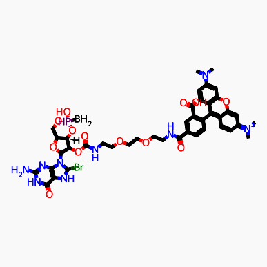 B[PH]1(O)OCC2OC(N3c4nc(N)[nH]c(=O)c4NC3Br)C(OC(=O)NCCOCCOCCNC(=O)c3ccc(-c4c5ccc(=[N+](C)C)cc-5oc5cc(N(C)C)ccc45)c(C(=O)O)c3)[C@@H]2O1